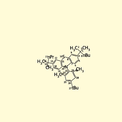 CCCCC(C)(C)c1ccc2c(c1)Sc1cc(C(C)(C)CCC)ccc1N2c1c(C)cc(C(C)(C)C)cc1C